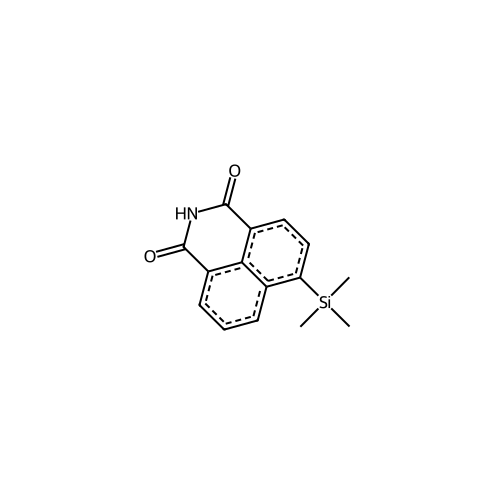 C[Si](C)(C)c1ccc2c3c(cccc13)C(=O)NC2=O